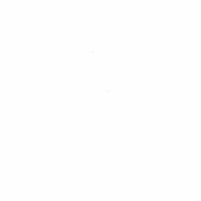 C=CCCC=C1N=C(c2ccccc2)[C@H](C(C)C)OC1=O